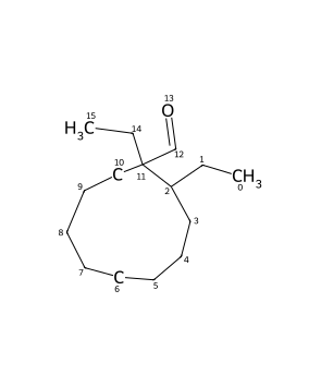 CCC1CCCCCCCCC1(C=O)CC